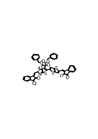 O=C1C(=O)c2ccccc2/C1=C/c1cc2sc3c(c2s1)OC(C(=O)OCc1ccccc1)(C(=O)OCc1ccccc1)c1c-3sc2nc(/C=C3\C(=O)C(=O)c4ccccc43)sc12